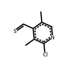 Cc1[c]nc(Cl)c(C)c1C=S